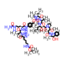 CC[C@H](C)[C@@H]([C@@H](CC(=O)N1CCC[C@H]1[C@H](OC)[C@@H](C)C(=O)N[C@H](C)[C@@H](O)c1ccccc1)OC)N(C)C(=O)[C@@H](NC(=O)[C@H](C(C)C)N(C)C(=O)OCc1ccc(NC(=O)[C@H](CCCNC(N)=O)NC(=O)[C@@H](NC(=O)[C@@H](N)CCCCNC(=O)OC(C)(C)C)C(C)C)cc1)C(C)C